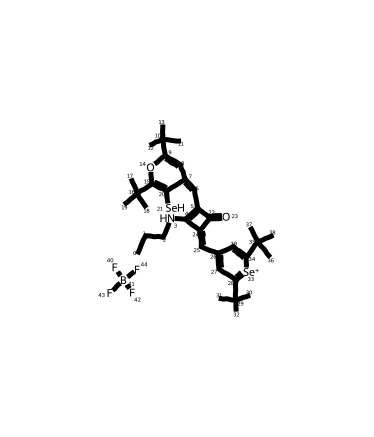 CCCNC1=C(C=C2C=C(C(C)(C)C)OC(C(C)(C)C)=C2[SeH])C(=O)C1=Cc1cc(C(C)(C)C)[se+]c(C(C)(C)C)c1.F[B-](F)(F)F